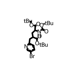 CC(C)(C)OC(=O)NC(CC(Cc1ccc(Br)cn1)C(=O)OC(C)(C)C)C(=O)OC(C)(C)C